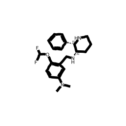 CN(C)c1ccc(OC(F)F)c(CN[C@H]2CCCN[C@H]2c2ccccc2)c1